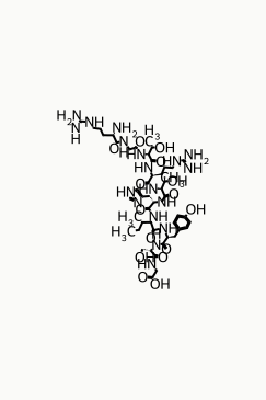 CC[C@H](C)[C@H](NC(=O)[C@H](Cc1c[nH]cn1)NC(=O)[C@@H](NC(=O)[C@H](CCCNC(=N)N)NC(=O)[C@@H](NC(=O)CNC(=O)[C@@H](N)CCCNC(=N)N)[C@@H](C)O)[C@@H](C)O)C(=O)N[C@@H](Cc1ccc(O)cc1)C(=O)N[C@@H](CO)C(=O)NCC(=O)O